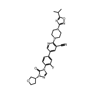 CC(C)c1nc(N2CCN(c3ncc(-c4ccc(-n5cnn([C@H]6CCOC6)c5=O)c(F)c4)cc3C#N)CC2)no1